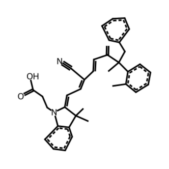 C=C(/C=C/C(C#N)=C/C=C1/N(CCC(=O)O)c2ccccc2C1(C)C)C(C)(Cc1ccccc1)c1ccccc1C